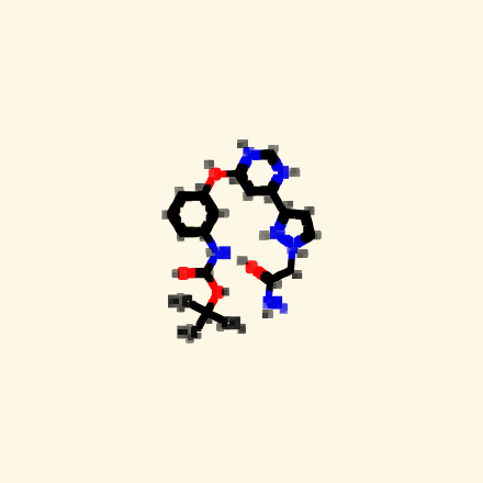 CC(C)(C)OC(=O)Nc1cccc(Oc2cc(-c3ccn(CC(N)=O)n3)ncn2)c1